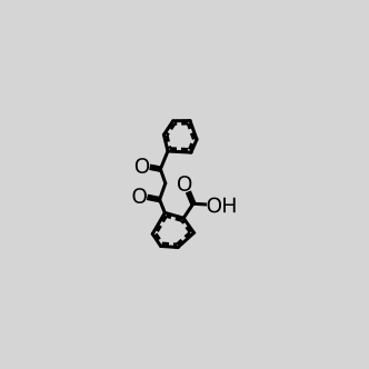 O=C(CC(=O)c1ccccc1C(=O)O)c1ccccc1